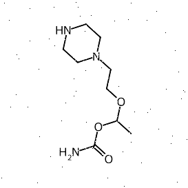 CC(OCCN1CCNCC1)OC(N)=O